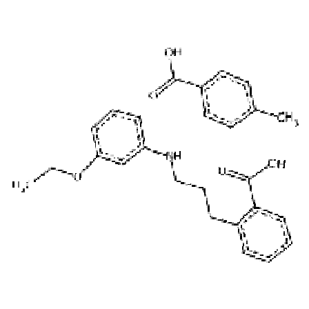 CCOc1cccc(NCCCc2ccccc2C(=O)O)c1.Cc1ccc(C(=O)O)cc1